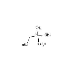 CCCCC[C@](C)(N)C(=O)O